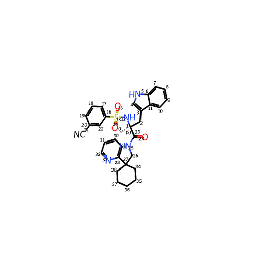 C[C@@](Cc1c[nH]c2ccccc12)(NS(=O)(=O)c1cccc(C#N)c1)C(=O)NCC1(c2ccccn2)CCCCC1